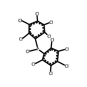 Clc1c(Cl)c(Cl)c(P(Cl)c2c(Cl)c(Cl)c(Cl)c(Cl)c2Cl)c(Cl)c1Cl